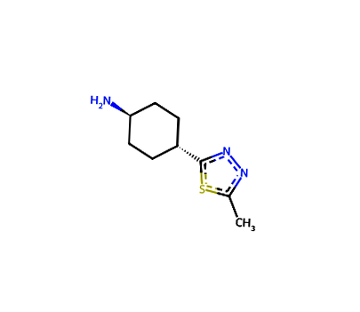 Cc1nnc([C@H]2CC[C@H](N)CC2)s1